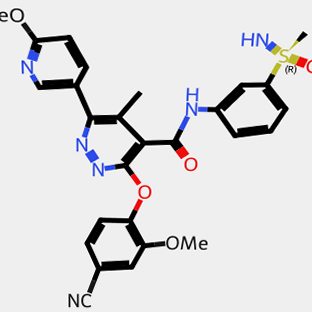 COc1ccc(-c2nnc(Oc3ccc(C#N)cc3OC)c(C(=O)Nc3cccc([S@](C)(=N)=O)c3)c2C)cn1